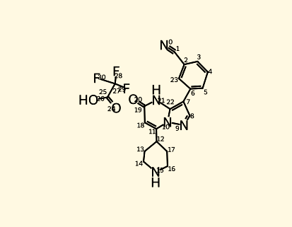 N#Cc1cccc(-c2cnn3c(C4CCNCC4)cc(=O)[nH]c23)c1.O=C(O)C(F)(F)F